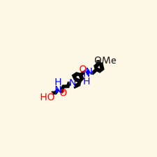 COc1cccc(/C=N/NC(=O)c2ccc3c(ccn3CCCC(=O)NCCO)c2)c1